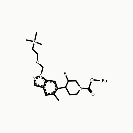 Cc1cc2cnn(COCC[Si](C)(C)C)c2cc1C1CCN(C(=O)OC(C)(C)C)CC1F